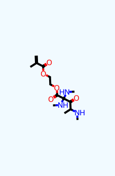 C=C(C)C(=O)OCCOC(=O)C(NC)(NC)C(=O)C(C)NC